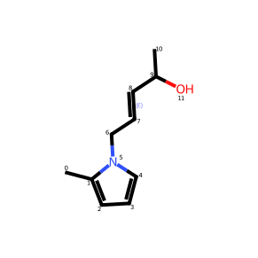 Cc1cccn1C/C=C/C(C)O